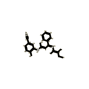 CC/C(C)=C(C)/N=C(\C=C(/C)Oc1cc(C#N)ccc1C)c1ccccc1